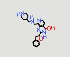 OC1NC(C2Cc3ccccc3O2)=Nc2c1ccnc2CNCC1CCNCC1